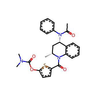 CC(=O)N(c1ccccc1)[C@H]1C[C@@H](C)N(C(=O)c2ccc(OC(=O)N(C)C)s2)c2ccccc21